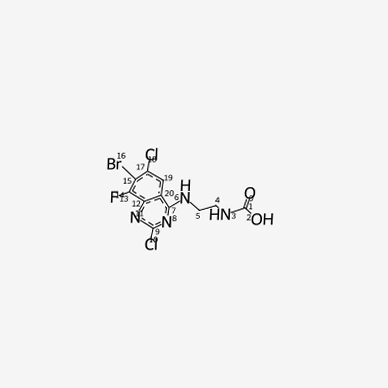 O=C(O)NCCNc1nc(Cl)nc2c(F)c(Br)c(Cl)cc12